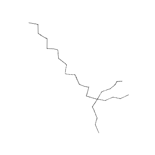 CCCCCCCCCCCCCC(CCCC)(CCCC)CCCC